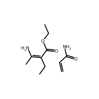 C=CC(N)=O.CCOC(=O)C(CC)=C(C)N